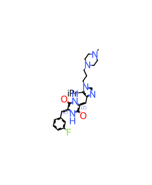 CC(C)c1c(/C=c2\[nH]c(=O)/c(=C/c3cccc(F)c3)[nH]c2=O)ncn1CCCN1CCN(C)CC1